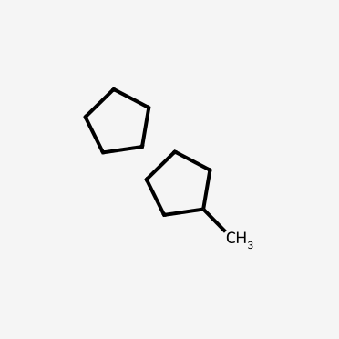 C1CCCC1.CC1CCCC1